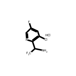 Cl.NC(c1ncc(F)cc1Cl)C(F)(F)F